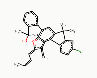 C=c1/c(=C\C=C/C)oc2c(-c3ccccc3C(C)(C)O)cc3c(c12)-c1ccc(Cl)cc1C3(C)C